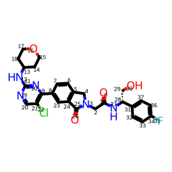 O=C(CN1Cc2ccc(-c3nc(NC4CCOCC4)ncc3Cl)cc2C1=O)N[C@H](CO)c1ccc(F)cc1